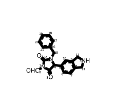 O=CN1C(=O)C(c2ccc3c(c2)CNC3)N(Cc2ccccc2)C1=O